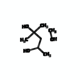 CC(O)CC(C)(C)O.CO